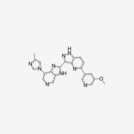 COc1cncc(-c2ccc3[nH]nc(-c4nc5c(-n6cnc(C)c6)cncc5[nH]4)c3n2)c1